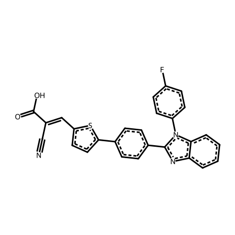 N#C/C(=C\c1ccc(-c2ccc(-c3nc4ccccc4n3-c3ccc(F)cc3)cc2)s1)C(=O)O